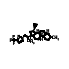 C[C@H]1CC[C@H]2[C@H](CC[C@H]3C4[C@H](C5CC5)C[C@H](C(=O)Cn5ccc(C(F)(F)F)n5)[C@@]4(C)CC[C@H]23)C1